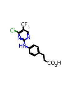 O=C(O)CCc1ccc(Nc2ncc(C(F)(F)F)c(Cl)n2)cc1